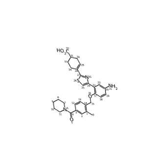 Cc1cc(C(=O)N2CCCCC2)ccc1COc1ccc(N)cc1-c1csc(C2=CCC(C(=O)O)CC2)n1